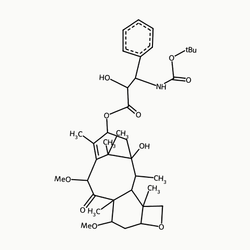 COC1C(=O)C2(C)C(OC)CC3OCC3(C)C2C(C)C2(O)CC(OC(=O)C(O)C(NC(=O)OC(C)(C)C)c3ccccc3)C(C)=C1C2(C)C